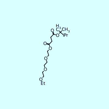 CCOCCOCCOCCOC(=O)CCC(=O)OC(C)(C)C(C)C